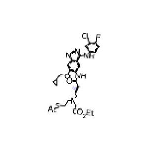 CCOC(=O)CN(C/C=C/C(=O)Nc1cc2c(Nc3ccc(F)c(Cl)c3)ncnc2cc1OCC1CC1)CCSC(C)=O